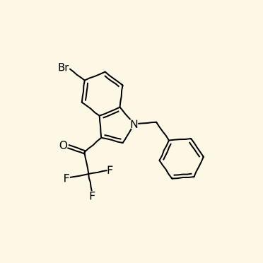 O=C(c1cn(Cc2ccccc2)c2ccc(Br)cc12)C(F)(F)F